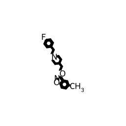 Cc1ccc2onc(OCCC3CCN(CCc4ccc(F)cc4)CC3)c2c1